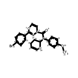 O=C(N1C=COC(c2ccc(Br)cc2)=N1)N(c1ccc(OC(F)(F)F)cc1)C1CCC=CO1